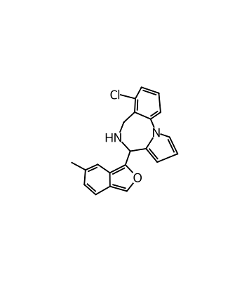 Cc1ccc2coc(C3NCc4c(Cl)cccc4-n4cccc43)c2c1